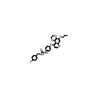 CCCOc1cc2nccc(Oc3ccc(NC(=O)NCc4ccc(F)cc4)cc3)c2c2c1OCCO2